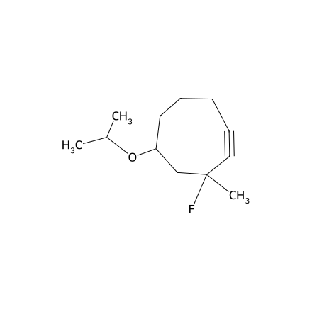 CC(C)OC1CCCC#CC(C)(F)C1